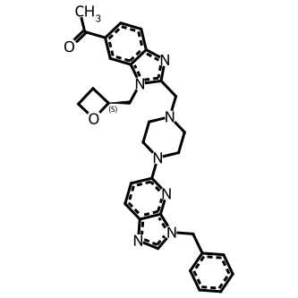 CC(=O)c1ccc2nc(CN3CCN(c4ccc5ncn(Cc6ccccc6)c5n4)CC3)n(C[C@@H]3CCO3)c2c1